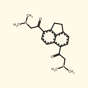 CN(C)CC(=O)c1ccc2c(C(=O)CN(C)C)ccc3c2c1CC3